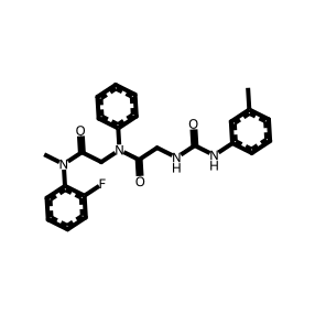 Cc1cccc(NC(=O)NCC(=O)N(CC(=O)N(C)c2ccccc2F)c2ccccc2)c1